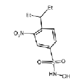 CCC(CC)c1ccc(S(=O)(=O)NO)cc1[N+](=O)[O-]